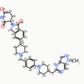 Cn1ncc2nc(CC3CCN(c4ccc(CN5CCC(c6ccc7c(c6)CN(C6CCC(=O)NC6=O)C7=O)CC5)cc4)CC3)ncc21